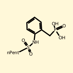 CCCCCS(=O)(=O)Nc1ccccc1CP(=O)(O)O